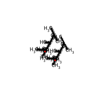 CCCCCCCCC(CCCCCC)C(=O)OCCCCCCN(CCCCO)CCCCCCOC(CCCCCCC)O[Si](C)(C)CCCCCCCC.CCCCCCCCC(CCCCCC)C(=O)OCCCCCCN(CCCCO)CCCCCCOC(CCCCCCC)O[Si](C)(C)CCCCCCCC